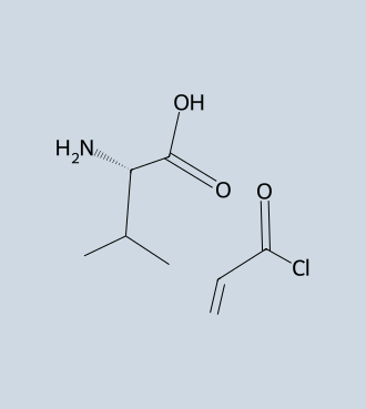 C=CC(=O)Cl.CC(C)[C@H](N)C(=O)O